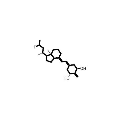 C=C1[C@H](O)CC(=C/C=C2\CCC[C@@]3(C)C2CCC3[C@H](C)CC(C)F)C[C@H]1O